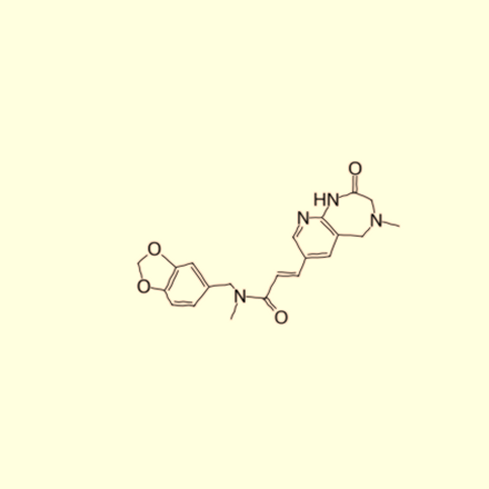 CN1CC(=O)Nc2ncc(/C=C/C(=O)N(C)Cc3ccc4c(c3)OCO4)cc2C1